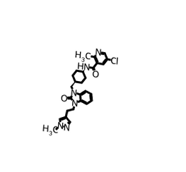 Cc1ncc(Cl)cc1C(=O)N[C@H]1CC[C@H](Cn2c(=O)n(CCc3cnn(C)c3)c3ccccc32)CC1